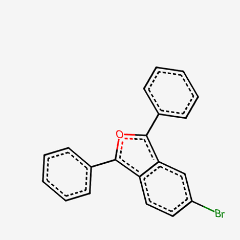 Brc1ccc2c(-c3ccccc3)oc(-c3ccccc3)c2c1